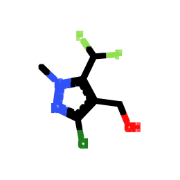 Cn1nc(Cl)c(CO)c1C(F)F